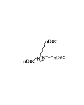 CCCCCCCCCCCCCCCC1N(CCCCCCCCCCC)C=CN1CCCCCCCCCCCCC